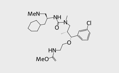 C=C(NCCO[C@@H](c1cccc(Cl)c1)[C@H](C)CN(C)C(=O)N[C@H](CNC)CC1CCCCC1)OC